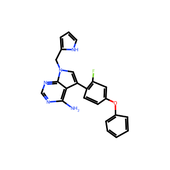 Nc1ncnc2c1c(-c1ccc(Oc3ccccc3)cc1F)cn2Cc1ccc[nH]1